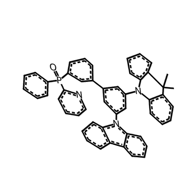 CC1(C)c2ccccc2N(c2cc(-c3cccc(P(=O)(c4ccccc4)c4ccccn4)c3)cc(-n3c4ccccc4c4ccccc43)c2)c2ccccc21